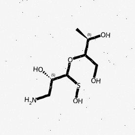 C[C@@H](O)C(CO)OC(SO)[C@@H](O)CN